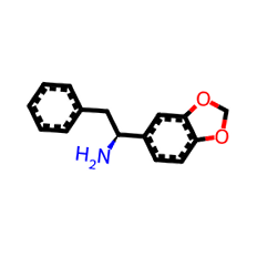 N[C@@H](Cc1ccccc1)c1ccc2c(c1)OCO2